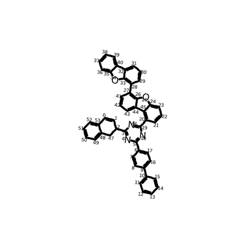 C1=CC(c2nc(-c3ccc(-c4ccccc4)cc3)nc(-c3cccc4oc5c(-c6cccc7c6oc6ccccc67)cccc5c34)n2)Cc2ccccc21